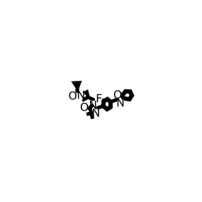 CC1(C)N=C(c2ccc(-c3nc4ccccc4o3)cc2F)N(CC2CN(C(=O)C3CC3)C2)C1=O